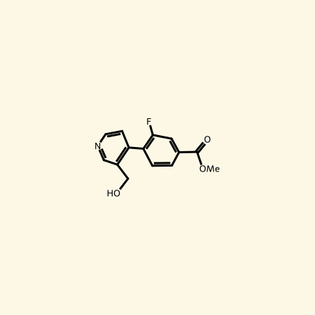 COC(=O)c1ccc(-c2ccncc2CO)c(F)c1